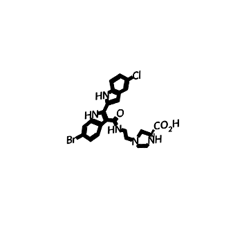 O=C(NCCN1CCN[C@H](C(=O)O)C1)c1c(-c2cc3cc(Cl)ccc3[nH]2)[nH]c2cc(Br)ccc12